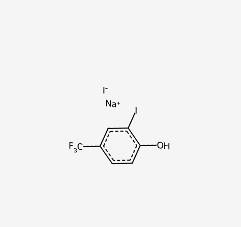 Oc1ccc(C(F)(F)F)cc1I.[I-].[Na+]